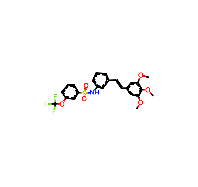 COc1cc(C=Cc2cccc(NS(=O)(=O)c3cccc(OC(F)(F)F)c3)c2)cc(OC)c1OC